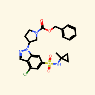 CC1(NS(=O)(=O)c2cc(Cl)c3cnn(C4CCN(C(=O)OCc5ccccc5)C4)c3c2)CC1